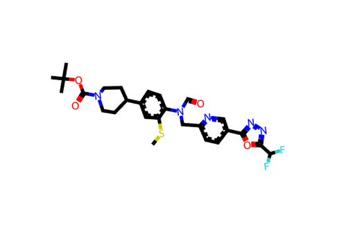 CSc1cc(C2CCN(C(=O)OC(C)(C)C)CC2)ccc1N(C=O)Cc1ccc(-c2nnc(C(F)F)o2)cn1